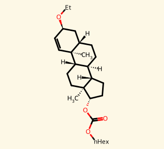 CCCCCCOC(=O)O[C@H]1CC[C@H]2[C@@H]3CC[C@H]4C[C@H](OCC)C=C[C@]4(C)[C@H]3CC[C@]12C